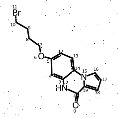 O=c1[nH]c2cc(OCCCCBr)ccc2n2cccc12